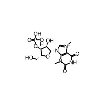 Cn1c(=O)[nH]c(=O)c2c1n([C@@H]1O[C@H](CO)[C@@H](OP(=O)(O)O)[C@H]1O)c[n+]2C